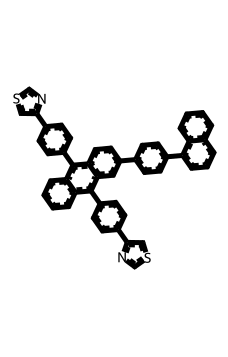 c1ccc2c(-c3ccc(-c4ccc5c(-c6ccc(-c7cscn7)cc6)c6ccccc6c(-c6ccc(-c7cscn7)cc6)c5c4)cc3)cccc2c1